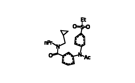 CCCN(CC1CC1)C(=O)c1cccc(N(C(C)=O)c2ccc(S(=O)(=O)CC)cc2)c1